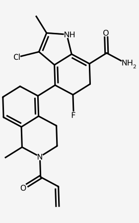 C=CC(=O)N1CCC2=C(C3=c4c(Cl)c(C)[nH]c4=C(C(N)=O)CC3F)CCC=C2C1C